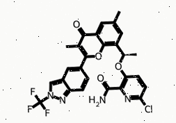 Cc1cc([C@@H](C)Oc2ccc(Cl)nc2C(N)=O)c2oc(-c3ccc4nn(C(F)(F)F)cc4c3)c(C)c(=O)c2c1